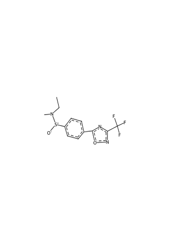 CCN(C)[S+]([O-])c1ccc(-c2nc(C(F)(F)F)no2)cc1